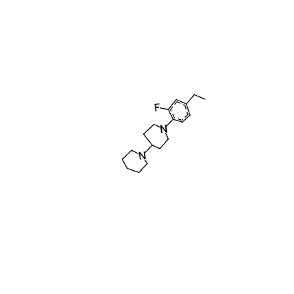 CCc1ccc(N2CCC(N3CCCCC3)CC2)c(F)c1